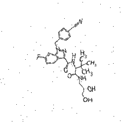 CC(C)(C)[C@H](NC(=O)c1nn(Cc2ccc(C#N)cc2)c2cc(F)ccc12)C(=O)NC[C@H](O)CO